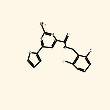 Nc1nc(C(=O)NCc2c(Cl)cccc2Cl)cc(-c2ccco2)n1